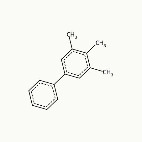 Cc1cc(-c2ccccc2)cc(C)c1C